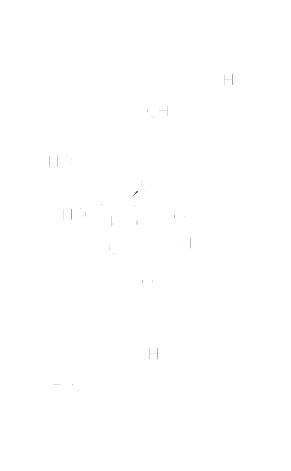 CCc1cccc(C2OC[C@@H]3OC(c4cccc(CC)c4CC)O[C@H]([C@H](O)CO)[C@@H]3O2)c1CC